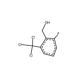 OCc1c(F)cccc1C(Cl)(Cl)Cl